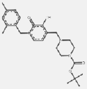 Cc1ccc(Cn2ccc(CN3CCN(C(=O)OC(C)(C)C)CC3)c(O)c2=O)c(C)c1